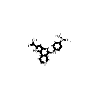 CN(C)c1ccc(Nc2nc3cc(C(=O)O)[nH]c3c3ccncc23)cc1